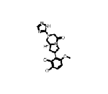 COc1ccc(Cl)c(Cl)c1[C@H]1C[C@H]2CN(c3ncn[nH]3)CC(=O)N2C1